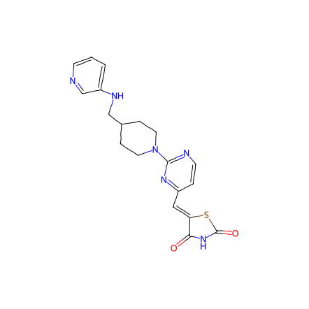 O=C1NC(=O)/C(=C/c2ccnc(N3CCC(CNc4cccnc4)CC3)n2)S1